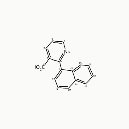 O=C(O)c1cccnc1-c1cccc2ccccc12